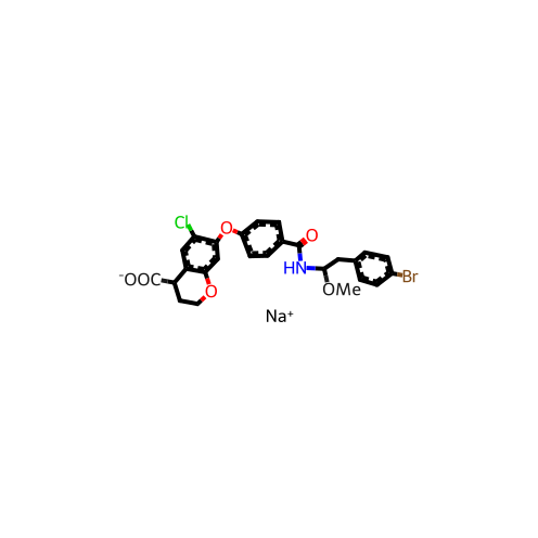 COC(Cc1ccc(Br)cc1)NC(=O)c1ccc(Oc2cc3c(cc2Cl)C(C(=O)[O-])CCO3)cc1.[Na+]